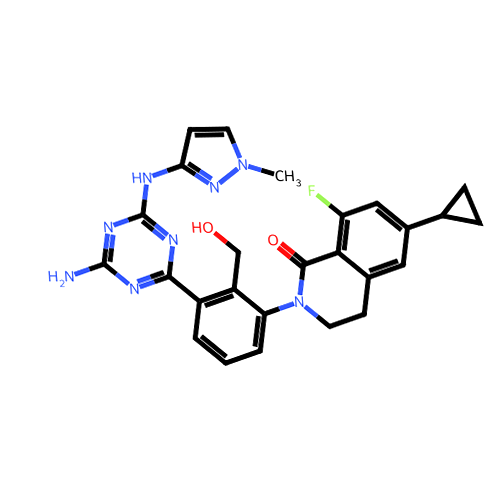 Cn1ccc(Nc2nc(N)nc(-c3cccc(N4CCc5cc(C6CC6)cc(F)c5C4=O)c3CO)n2)n1